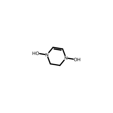 ON1C=CN(O)CC1